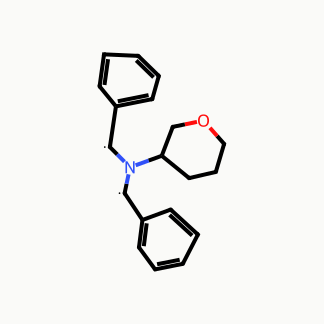 [CH](c1ccccc1)N([CH]c1ccccc1)C1CCCOC1